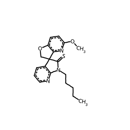 CCCCCN1C(=S)C2(COc3ccc(OC)nc32)c2cccnc21